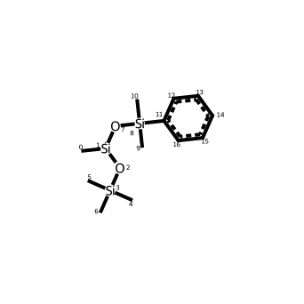 C[Si](O[Si](C)(C)C)O[Si](C)(C)c1ccccc1